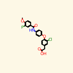 COc1ccc(C(=O)Nc2ccc(Oc3ccc(CC(=O)O)cc3Cl)cc2)cc1F